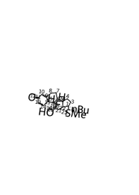 CCCC[C@@]1(SC)CC[C@H]2[C@@H]3CCC4=CC(=O)C=C[C@]4(C)C3(F)[C@@H](O)C[C@@]21C